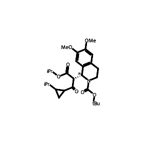 COc1cc2c(cc1OC)[C@@H](C(C(=O)OC(C)C)C(=O)C1CC1C(C)C)N(C(=O)OC(C)(C)C)CC2